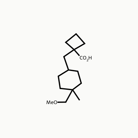 COCC1(C)CCC(CC2(C(=O)O)CCC2)CC1